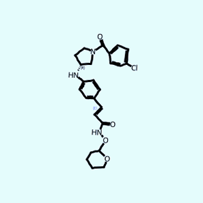 O=C(/C=C/c1ccc(N[C@@H]2CCN(C(=O)c3ccc(Cl)cc3)C2)cc1)NOC1CCCCO1